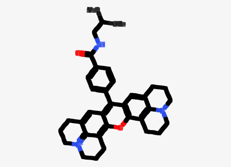 COC(CNC(=O)c1ccc(C2=c3cc4c5c(c3Oc3c2cc2c6c3CCCN6CCC2)CCC[N+]=5CCC4)cc1)OC